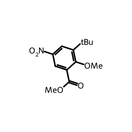 COC(=O)c1cc([N+](=O)[O-])cc(C(C)(C)C)c1OC